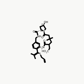 C=CCSC(=C(C)C)c1ccc(CNC(=O)[C@@H]2C[C@@H](O)CN2C(=O)CC(C)(C)CC(CC(=O)O)C(N)=O)cc1